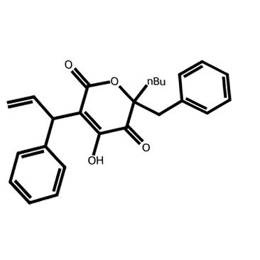 C=CC(C1=C(O)C(=O)C(CCCC)(Cc2ccccc2)OC1=O)c1ccccc1